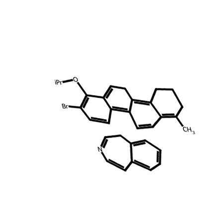 C1=Cc2ccccc2CC=N1.CC1=c2ccc3c(c2CCC1)CC=c1c(OC(C)C)c(Br)ccc1=3